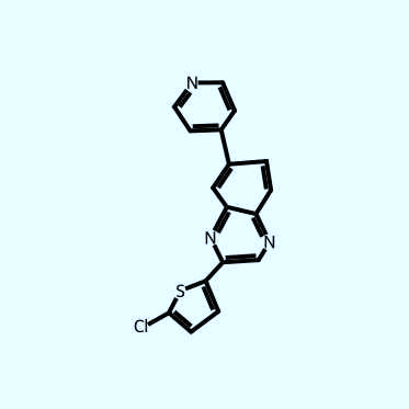 Clc1ccc(-c2cnc3ccc(-c4ccncc4)cc3n2)s1